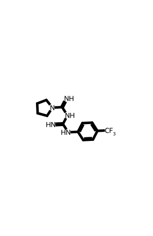 N=C(NC(=N)N1CCCC1)Nc1ccc(C(F)(F)F)cc1